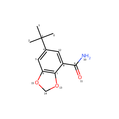 CC(C)(C)c1cc2c(c(C(N)=O)c1)OCO2